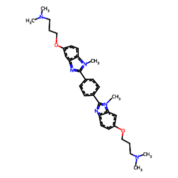 CN(C)CCCOc1ccc2c(c1)nc(-c1ccc(-c3nc4ccc(OCCCN(C)C)cc4n3C)cc1)n2C